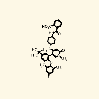 Cc1cc(F)cc(C)c1Oc1ccc(C(C)(C)O)cc1-c1cn(C)c(=O)cc1O[C@H]1CC[C@H](NC(=O)c2ccccc2C(=O)O)CC1